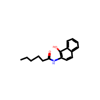 CCCCCC(=O)Nc1ccc2ccccc2c1O